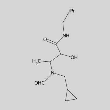 CC(C)CNC(=O)C(O)C(C)N(C=O)CC1CC1